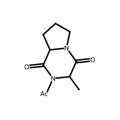 CC(=O)N1C(=O)C2CCCN2C(=O)C1C